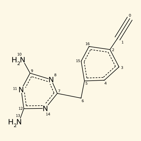 C#Cc1ccc(Cc2nc(N)nc(N)n2)cc1